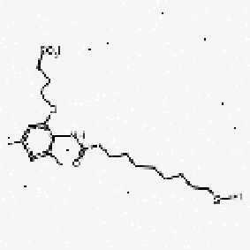 CCSCCCCCCCCCC(=O)Nc1c(C)cc(C)cc1OCCCC(=O)O